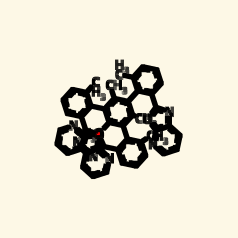 Cc1cccc(-c2nc3cccnc3o2)c1-c1c(C)c(-c2c(C)cccc2-c2nc3cccnc3o2)c(C)c(-c2c(C)cccc2-c2nc3cccnc3o2)c1C